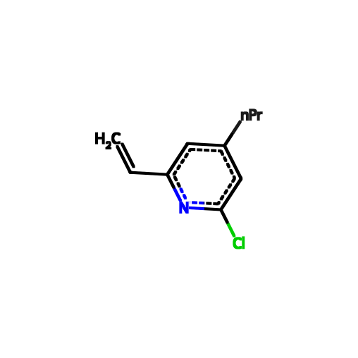 C=Cc1cc(CCC)cc(Cl)n1